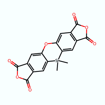 C[Si]1(C)c2cc3c(cc2Oc2cc4c(cc21)C(=O)OC4=O)C(=O)OC3=O